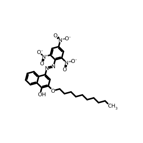 CCCCCCCCCCOc1cc(N=Nc2c([N+](=O)[O-])cc([N+](=O)[O-])cc2[N+](=O)[O-])c2ccccc2c1O